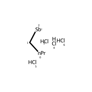 CCC[CH2][Sb].Cl.Cl.Cl.Cl